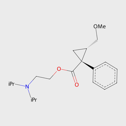 COC[C@H]1C[C@]1(C(=O)OCCN(C(C)C)C(C)C)c1ccccc1